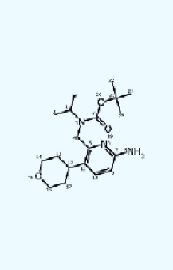 CC(C)N(Cc1nc(N)ccc1C1CCOCC1)C(=O)OC(C)(C)C